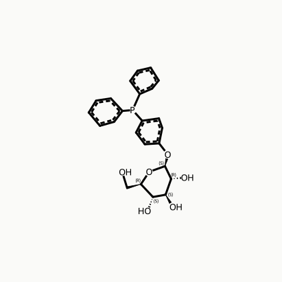 OC[C@H]1O[C@@H](Oc2ccc(P(c3ccccc3)c3ccccc3)cc2)[C@H](O)[C@@H](O)[C@@H]1O